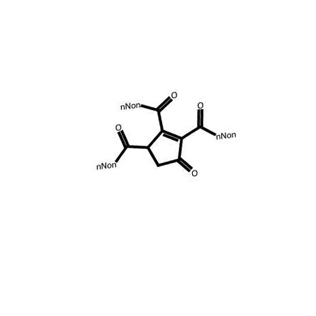 CCCCCCCCCC(=O)C1=C(C(=O)CCCCCCCCC)C(C(=O)CCCCCCCCC)CC1=O